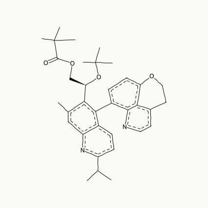 Cc1cc2nc(C(C)C)ccc2c(-c2ccc3c4c(ccnc24)CCO3)c1[C@@H](COC(=O)C(C)(C)C)OC(C)(C)C